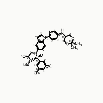 CC(C)(C)OC(=O)CN(c1ccc2c(ccn2-c2ccc(NC3COC(C)(C)OC3)cn2)c1)S(=O)(=O)c1cc(Cl)cc(Cl)c1